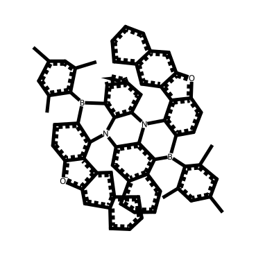 Cc1cc(C)c(B2c3ccc4oc5cc6ccccc6cc5c4c3N3c4cc5ccccc5c5c4N(c4cc6ccccc6c2c43)c2c(ccc3oc4cc6ccccc6cc4c23)B5c2c(C)cc(C)cc2C)c(C)c1